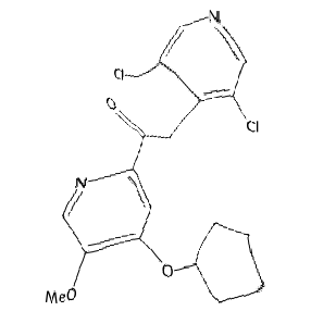 COc1cnc(C(=O)Cc2c(Cl)cncc2Cl)cc1OC1CCCC1